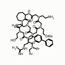 COCCN(CC(=O)N(CCN)CC(=O)NC1CCCCN(CC(=O)N(CCO)CC(=O)N(CC(=O)N(CC(C)=O)C(C)C)Cc2ccc(-c3ccccc3)cc2)C1=O)C(=O)CN(CCCCNC(=N)N)C(=O)CN(CCN)C(C)C